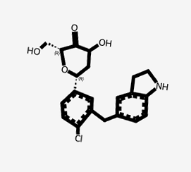 O=C1C(O)C[C@H](c2ccc(Cl)c(Cc3ccc4c(c3)CCN4)c2)O[C@@H]1CO